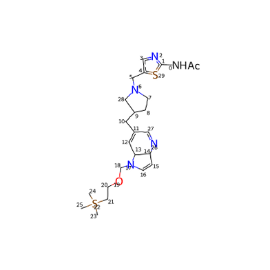 CC(=O)Nc1ncc(CN2CCC(CC3=CC4C(C=CN4COCCS(C)(C)C)N=C3)C2)s1